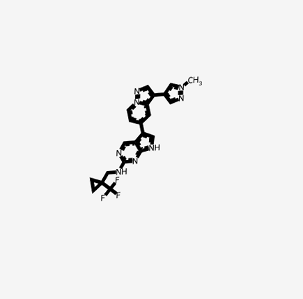 Cn1cc(-c2cnn3ccc(-c4c[nH]c5nc(NCC6(C(F)(F)F)CC6)ncc45)cc23)cn1